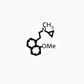 COc1cccc2cccc(CCN(C)C3CC3)c12